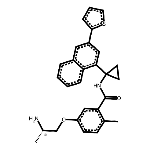 Cc1ccc(OC[C@H](C)N)cc1C(=O)NC1(c2cc(-c3cccs3)cc3ccccc23)CC1